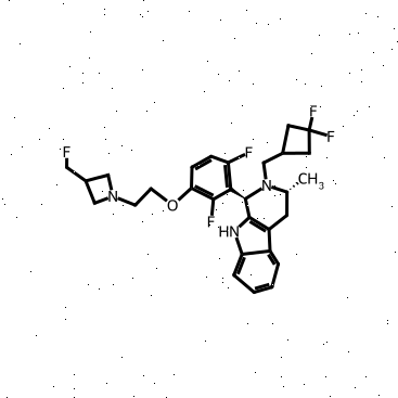 C[C@@H]1Cc2c([nH]c3ccccc23)[C@@H](c2c(F)ccc(OCCN3CC(CF)C3)c2F)N1CC1CC(F)(F)C1